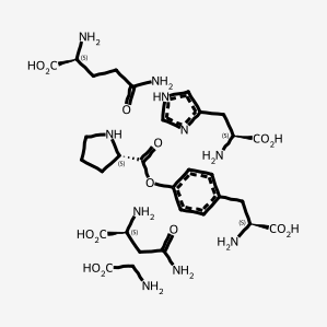 NC(=O)CC[C@H](N)C(=O)O.NC(=O)C[C@H](N)C(=O)O.NCC(=O)O.N[C@@H](Cc1c[nH]cn1)C(=O)O.N[C@@H](Cc1ccc(OC(=O)[C@@H]2CCCN2)cc1)C(=O)O